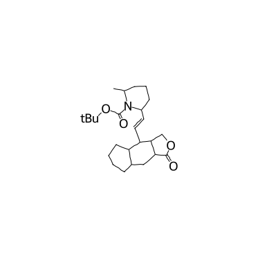 CC1CCCC(/C=C/C2C3CCCCC3CC3C(=O)OCC32)N1C(=O)OC(C)(C)C